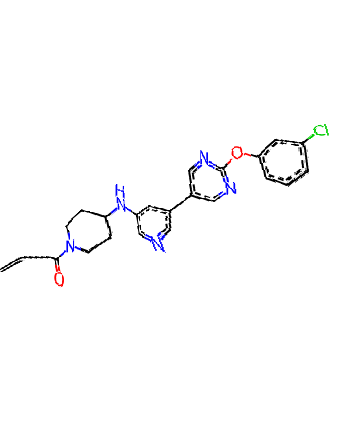 C=CC(=O)N1CCC(Nc2cncc(-c3cnc(Oc4cccc(Cl)c4)nc3)c2)CC1